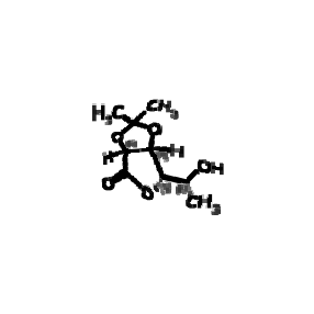 C[C@@H](O)[C@@H]1OC(=O)[C@@H]2OC(C)(C)O[C@H]12